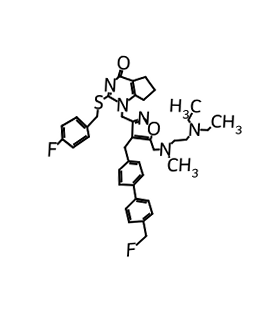 CCN(CC)CCN(C)Cc1onc(Cn2c(SCc3ccc(F)cc3)nc(=O)c3c2CCC3)c1Cc1ccc(-c2ccc(CF)cc2)cc1